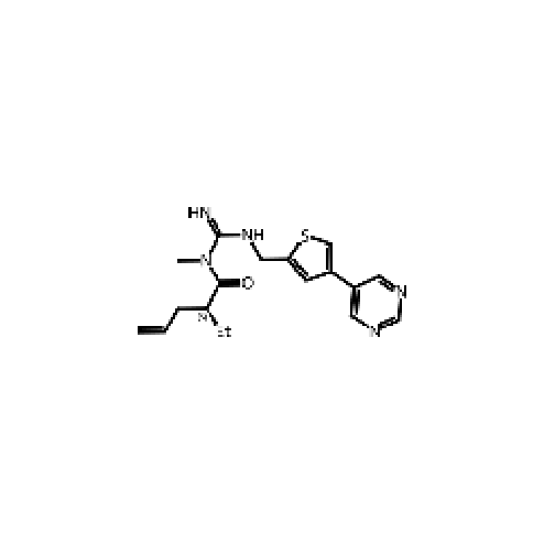 C=CC[C@H](CC)C(=O)N(C)C(=N)NCc1cc(-c2cncnc2)cs1